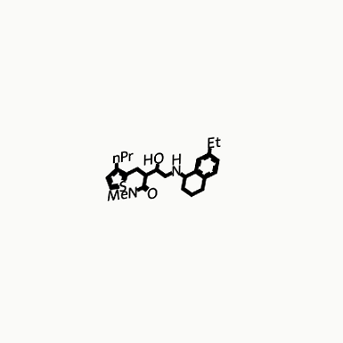 CCCc1ccsc1CC(C(=O)NC)C(O)CNC1CCCc2ccc(CC)cc21